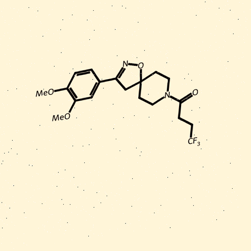 COc1ccc(C2=NOC3(CCN(C(=O)CCC(F)(F)F)CC3)C2)cc1OC